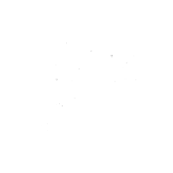 CCOC(=O)CN1CCC(C[C@H](C)COc2ccc(Br)c(C)c2)CC1